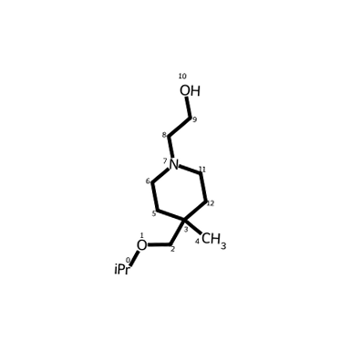 CC(C)OCC1(C)CCN(CCO)CC1